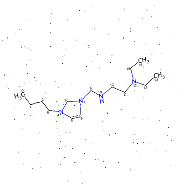 CCCCN1C=CN(CNCCN(CC)CC)C1